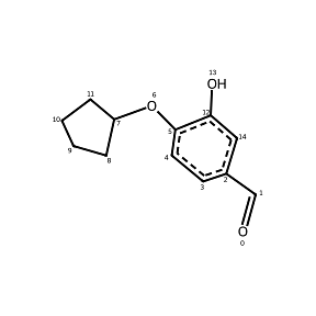 O=Cc1ccc(OC2CCCC2)c(O)c1